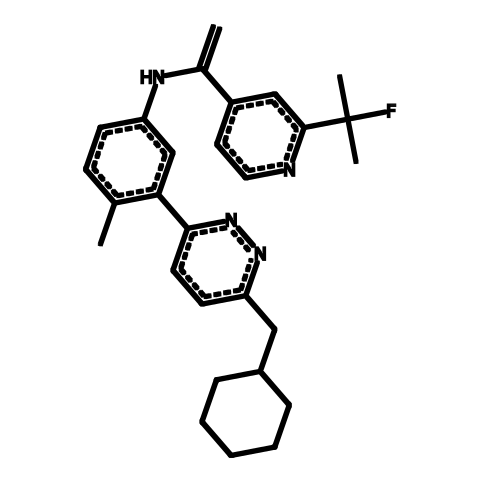 C=C(Nc1ccc(C)c(-c2ccc(CC3CCCCC3)nn2)c1)c1ccnc(C(C)(C)F)c1